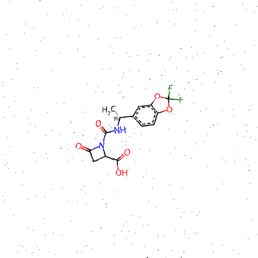 C[C@@H](NC(=O)N1C(=O)CC1C(=O)O)c1ccc2c(c1)OC(F)(F)O2